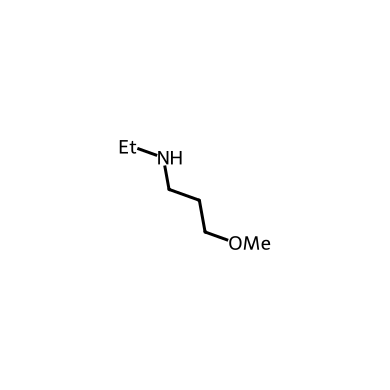 CCNCCCOC